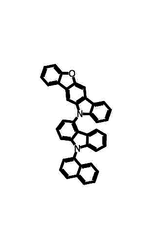 c1ccc2c(-n3c4ccccc4c4c(-n5c6ccccc6c6cc7oc8ccccc8c7cc65)cccc43)cccc2c1